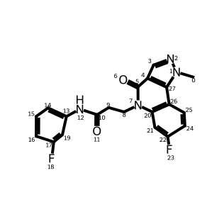 Cn1ncc2c(=O)n(CCC(=O)Nc3cccc(F)c3)c3cc(F)ccc3c21